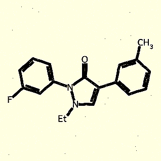 CCn1cc(-c2cccc(C)c2)c(=O)n1-c1cccc(F)c1